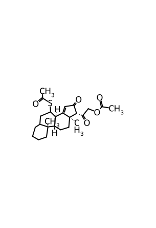 CC(=O)OCC(=O)[C@H]1C(=O)C=C2[C@@H]3C(SC(C)=O)CC4CCCC[C@]4(C)[C@H]3CC[C@@]21C